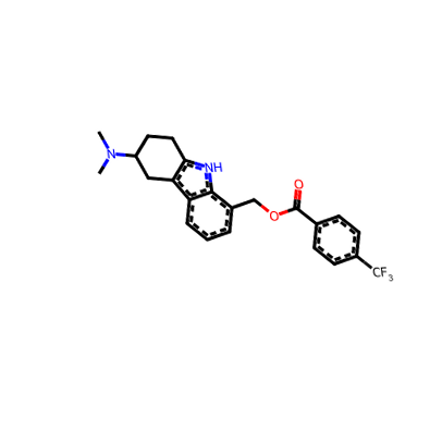 CN(C)C1CCc2[nH]c3c(COC(=O)c4ccc(C(F)(F)F)cc4)cccc3c2C1